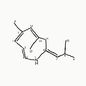 CC1=C/C=C/N/C(=C/C(C)C)C\C(C)=C\1